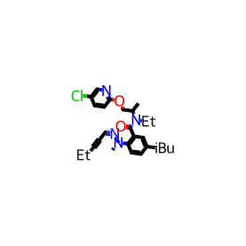 CCC#C/C=N\N(C)c1ccc(C(C)CC)cc1C(=O)N(CC)C(C)COc1ccc(Cl)cn1